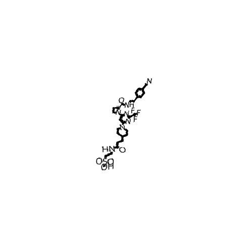 N#Cc1ccc(CCNC(=O)[C@@H]2CCN2c2cc(N3CCC(CCC(=O)NCCS(=O)(=O)O)CC3)nc(C(F)(F)F)n2)cc1